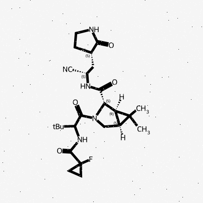 CC(C)(C)C(NC(=O)C1(F)CC1)C(=O)N1C[C@H]2[C@@H]([C@H]1C(=O)N[C@H](C#N)C[C@@H]1CCNC1=O)C2(C)C